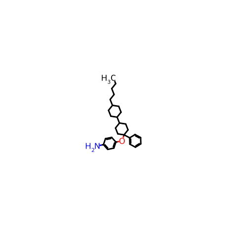 CCCCCC1CCC(C2CCC(Oc3ccc(N)cc3)(c3ccccc3)CC2)CC1